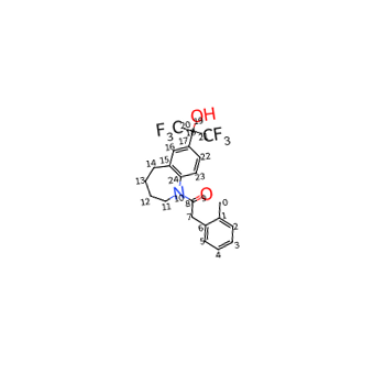 Cc1ccccc1CC(=O)N1CCCCc2cc(C(O)(C(F)(F)F)C(F)(F)F)ccc21